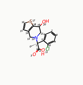 C[C@@](C(=O)O)(c1ccccc1Cl)N1Cc2ccsc2C(O)C1